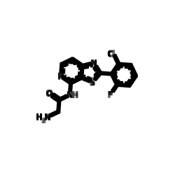 NCC(=O)Nc1nccc2nc(-c3c(F)cccc3Cl)sc12